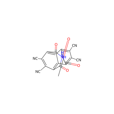 N#Cc1c(C#N)c2c(=O)[nH]c(=O)c1c1c3c(C#N)c(C#N)c(c(=O)[nH]c3=O)c21